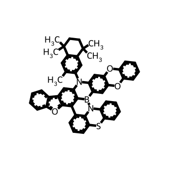 Cc1cc2c(cc1N1c3cc4c(cc3B3c5c1cc1c(oc6ccccc61)c5-c1cccc5c1N3c1ccccc1S5)Oc1ccccc1O4)C(C)(C)CCC2(C)C